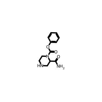 NC(=O)C1CNCCN1C(=O)Oc1ccccc1